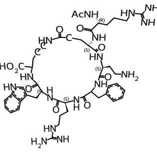 CC(=O)N[C@H](CCCNC(=N)N)C(=O)N[C@H]1CCC(=O)NCCCC(C(=O)O)NC(=O)[C@H](Cc2c[nH]c3ccccc23)NC(=O)[C@H](CCCNC(=N)N)NC(=O)C(Cc2ccccc2)NC(=O)[C@H](CCN)NC1=O